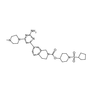 CN1CCN(c2cc(-c3ccc4c(c3)CN(C(=O)OC3CCN(S(=O)(=O)C5CCCC5)CC3)CC4)nc(N)n2)CC1